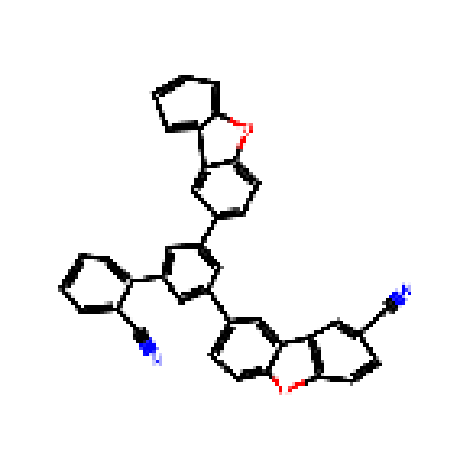 N#Cc1ccc2oc3ccc(-c4cc(-c5ccc6oc7ccccc7c6c5)cc(-c5ccccc5C#N)c4)cc3c2c1